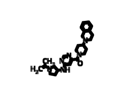 C=C(C)N1CCC(Nc2cc(C(=O)N3CCC(N4CCc5ccccc5C4)CC3)ncn2)C1